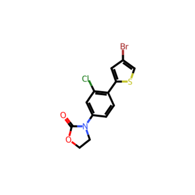 O=C1OCCN1c1ccc(-c2cc(Br)cs2)c(Cl)c1